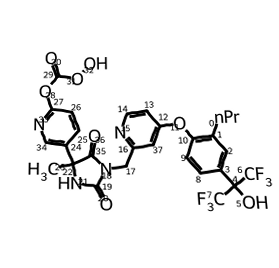 CCCc1cc(C(O)(C(F)(F)F)C(F)(F)F)ccc1Oc1ccnc(CN2C(=O)NC(C)(c3ccc(OC(=O)OO)nc3)C2=O)c1